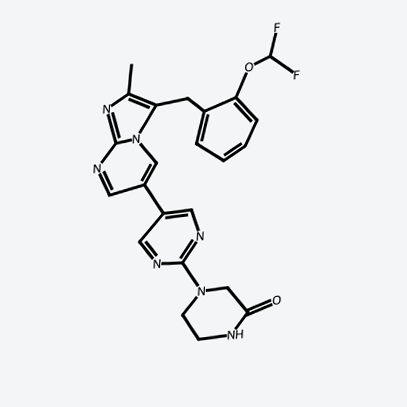 Cc1nc2ncc(-c3cnc(N4CCNC(=O)C4)nc3)cn2c1Cc1ccccc1OC(F)F